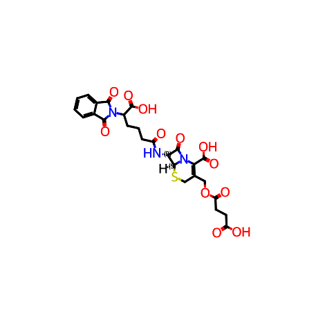 O=C(O)CCC(=O)OCC1=C(C(=O)O)N2C(=O)[C@@H](NC(=O)CCCC(C(=O)O)N3C(=O)c4ccccc4C3=O)[C@@H]2SC1